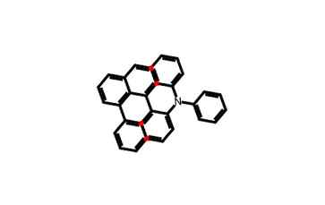 c1ccc(-c2cccc3cccc(-c4ccccc4N(c4ccccc4)c4ccccc4)c23)cc1